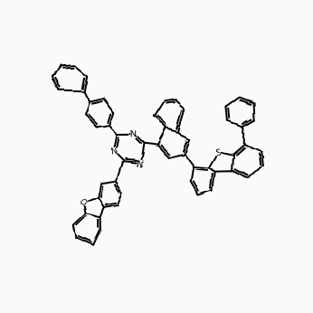 c1ccc(-c2ccc(-c3nc(-c4ccc5c(c4)oc4ccccc45)nc(-c4cc(-c5cccc6c5sc5c(-c7ccccc7)cccc56)cc5ccccc45)n3)cc2)cc1